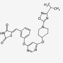 CC(C)c1noc(N2CCC(Oc3cc(Oc4cccc(/C=C5\SC(=O)NC5=O)c4)ncn3)CC2)n1